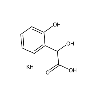 O=C(O)C(O)c1ccccc1O.[KH]